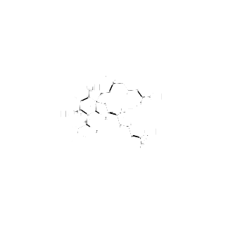 CC(C)=CCC/C(C)=C/CC1(C/C=C(\C)CCC=C(C)C)C(=O)C(C(=O)CC(C)C)=C(O)C=C1O